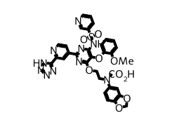 COc1ccccc1Oc1c(NS(=O)(=O)c2cccnc2)nc(-c2ccnc(-c3nnn[nH]3)c2)nc1OCCN(C(=O)O)c1ccc2c(c1)OCO2